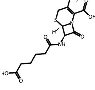 CC1=C(C(=O)O)N2C(=O)[C@@H](NC(=O)CCCCC(=O)O)[C@H]2SC1